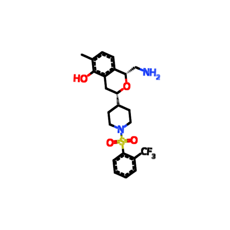 Cc1ccc2c(c1O)C[C@@H](C1CCN(S(=O)(=O)c3ccccc3C(F)(F)F)CC1)O[C@H]2CN